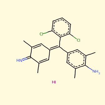 CC1=CC(=C(c2cc(C)c(N)c(C)c2)c2c(Cl)cccc2Cl)C=C(C)C1=N.I